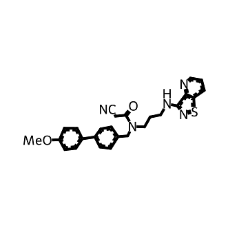 COc1ccc(-c2ccc(CN(CCCNc3nsc4cccnc34)C(=O)CC#N)cc2)cc1